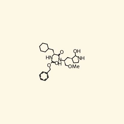 COC[C@H](C[C@@H]1CCNC1O)NC(=O)[C@H](CC1CCCCC1)NC(=O)OCc1ccccc1